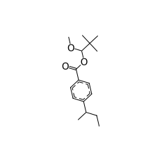 CCC(C)c1ccc(C(=O)OC(OC)C(C)(C)C)cc1